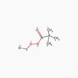 CC(C)(C)C(=O)OOCBr